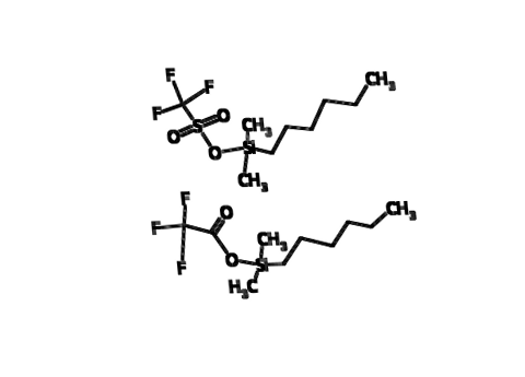 CCCCCC[Si](C)(C)OC(=O)C(F)(F)F.CCCCCC[Si](C)(C)OS(=O)(=O)C(F)(F)F